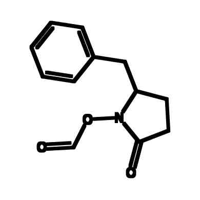 O=CON1C(=O)CCC1Cc1ccccc1